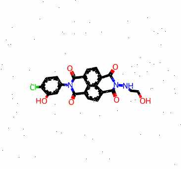 O=C1c2ccc3c4c(ccc(c24)C(=O)N1NCCO)C(=O)N(c1ccc(Cl)c(O)c1)C3=O